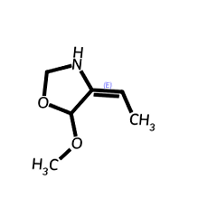 C/C=C1/NCOC1OC